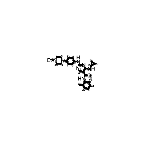 CCN1CCN(c2ccc(Nc3ncc(C(=O)Nc4c(C)cccc4F)c(NC4CC4)n3)cc2)CC1